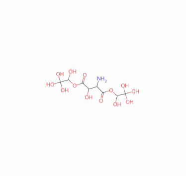 NC(C(=O)OC(O)C(O)(O)O)C(O)C(=O)OC(O)C(O)(O)O